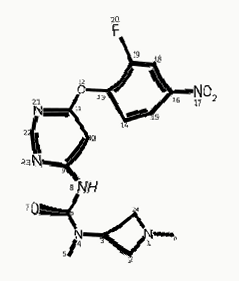 CN1CC(N(C)C(=O)Nc2cc(Oc3ccc([N+](=O)[O-])cc3F)ncn2)C1